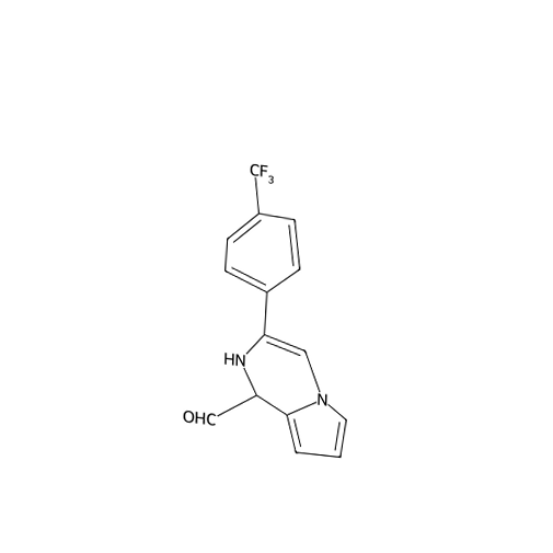 O=CC1NC(c2ccc(C(F)(F)F)cc2)=Cn2cccc21